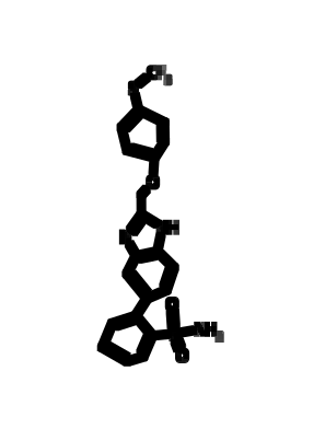 NS(=O)(=O)c1ccccc1-c1ccc2[nH]c(COc3ccc(SC(F)(F)F)cc3)nc2c1